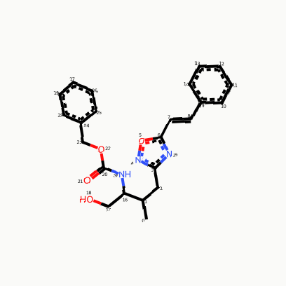 CC(Cc1noc(C=Cc2ccccc2)n1)C(CO)NC(=O)OCc1ccccc1